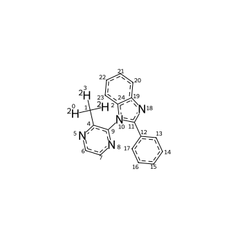 [2H]C([2H])([2H])c1nccnc1-n1c(-c2ccccc2)nc2ccccc21